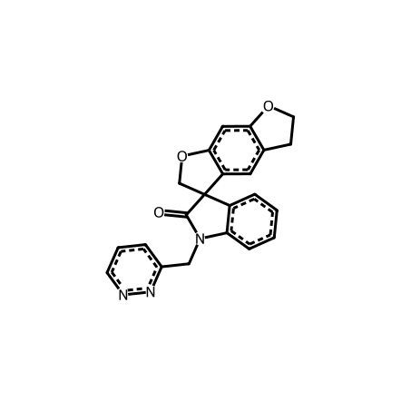 O=C1N(Cc2cccnn2)c2ccccc2C12COc1cc3c(cc12)CCO3